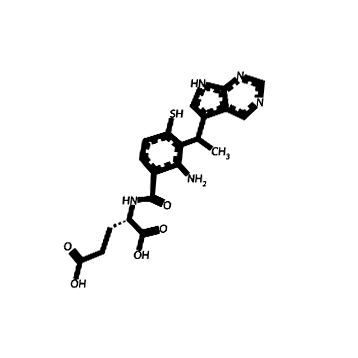 CC(c1c(S)ccc(C(=O)N[C@@H](CCC(=O)O)C(=O)O)c1N)c1c[nH]c2ncncc12